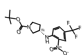 CC(C)(C)OC(=O)N1CC[C@H](Nc2ccc(C(F)(F)F)cc2[N+](=O)[O-])C1